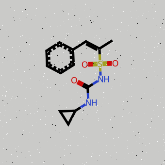 CC(=Cc1ccccc1)S(=O)(=O)NC(=O)NC1CC1